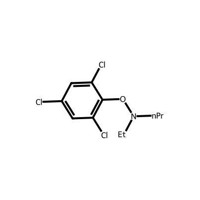 CCCN(CC)Oc1c(Cl)cc(Cl)cc1Cl